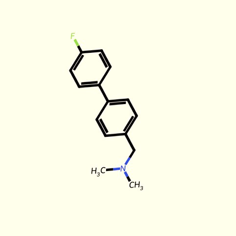 CN(C)Cc1ccc(-c2ccc(F)cc2)cc1